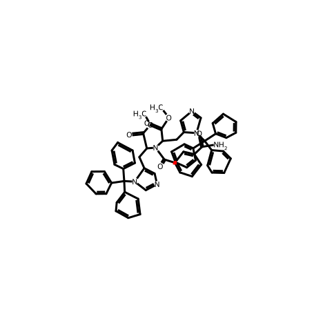 COC(=O)C(Cc1cncn1C(c1ccccc1)(c1ccccc1)c1ccccc1)N(C(=O)c1cccc(C(N)=O)c1)C(Cc1cncn1C(c1ccccc1)(c1ccccc1)c1ccccc1)C(=O)OC